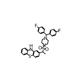 CC(c1ccc2c(c1)Nc1ccccc1S2)S(=O)(=O)N1CCN(C(c2ccc(F)cc2)c2ccc(F)cc2)CC1